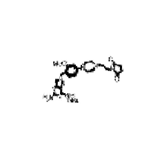 CCCCNc1nc(N)nc2cn(Cc3ccc(N4CCN(CCN5C(=O)C=CC5=O)CC4)cc3OC)nc12